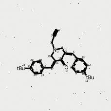 C#CCN1CC(=Cc2ccc(C(C)(C)C)cc2)C(=O)C(=Cc2ccc(C(C)(C)C)cc2)C1